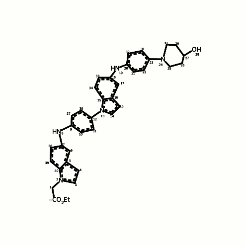 CCOC(=O)Cn1ccc2cc(Nc3ccc(-n4ccc5cc(Nc6ccc(N7CCC(O)CC7)cc6)ccc54)cc3)ccc21